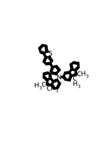 CC1(C)c2ccccc2-c2cc(N(c3ccc(-c4ccc5c(c4)sc4ccccc45)cc3)c3cccc4c3-c3ccccc3C4(C)C)ccc21